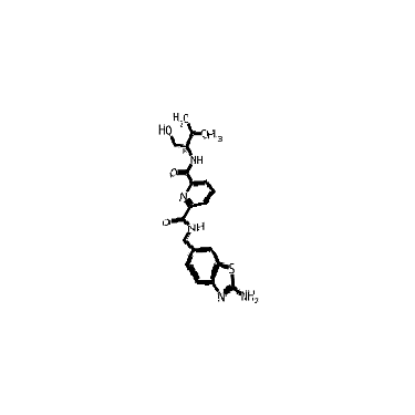 CC(C)[C@H](CO)NC(=O)c1cccc(C(=O)NCc2ccc3nc(N)sc3c2)n1